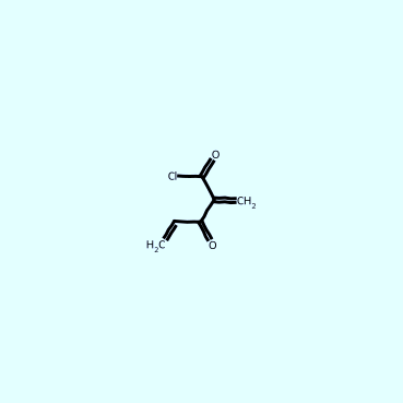 C=CC(=O)C(=C)C(=O)Cl